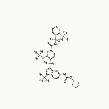 [2H]C([2H])([2H])Oc1cc(C(=O)NS(=O)(=O)c2ccccc2C([2H])([2H])[2H])ccc1C([2H])([2H])c1cn(C([2H])([2H])[2H])c2ccc(NC(=O)OC3CCCC3)cc12